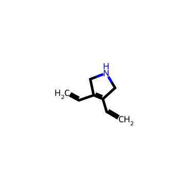 C=CC1=C(C=C)CNC1